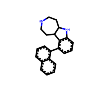 c1cc2c(c(-c3cccc4ccccc34)c1)C1CCNCCC1N2